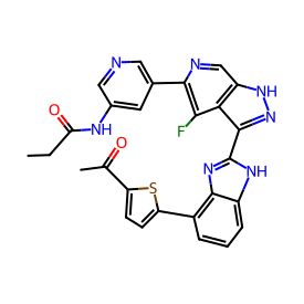 CCC(=O)Nc1cncc(-c2ncc3[nH]nc(-c4nc5c(-c6ccc(C(C)=O)s6)cccc5[nH]4)c3c2F)c1